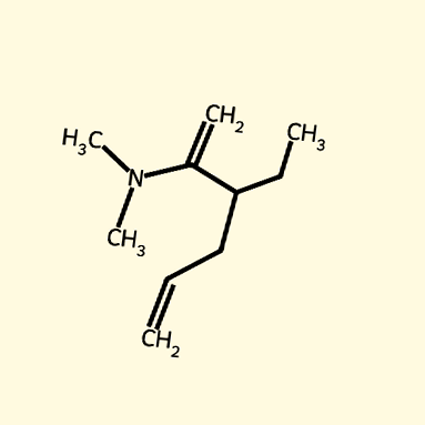 C=CCC(CC)C(=C)N(C)C